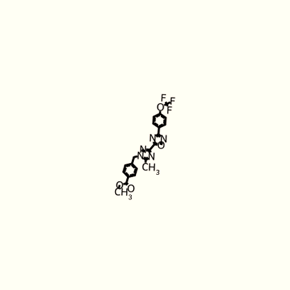 COC(=O)c1ccc(Cn2nc(-c3nc(-c4ccc(OC(F)(F)F)cc4)no3)nc2C)cc1